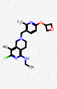 N#CCNc1nc(Cl)c(C#N)c2c1CCN(Cc1ccc(OC3COC3)nc1C(F)(F)F)C2